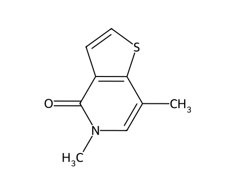 Cc1cn(C)c(=O)c2ccsc12